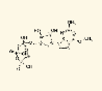 COc1nc(N)nc2c1ncn2[C@@H]1O[C@H](COP(=O)(O)OP(=O)(O)OP(=O)(O)O)[C@@H](O)[C@@H]1O